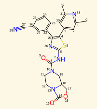 Cc1cc(-c2sc(NC(=O)N3CCN4C(=O)OCC4C3)nc2-c2cccc(C#N)c2)cc(C)n1